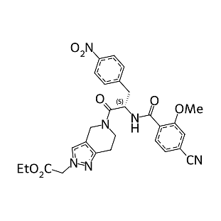 CCOC(=O)Cn1cc2c(n1)CCN(C(=O)[C@H](Cc1ccc([N+](=O)[O-])cc1)NC(=O)c1ccc(C#N)cc1OC)C2